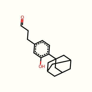 O=CCCc1ccc(C23CC4CC(CC(C4)C2)C3)c(O)c1